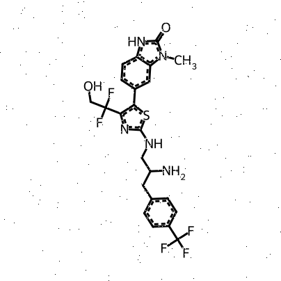 Cn1c(=O)[nH]c2ccc(-c3sc(NCC(N)Cc4ccc(C(F)(F)F)cc4)nc3C(F)(F)CO)cc21